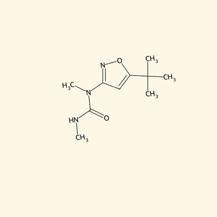 CNC(=O)N(C)c1cc(C(C)(C)C)on1